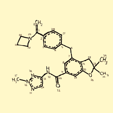 C=C(c1ccc(Cc2cc(C(=O)Nc3cnn(C)n3)cc3c2CC(C)(C)O3)cc1)N1CCC1